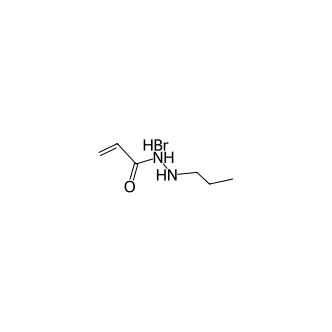 Br.C=CC(=O)NNCCC